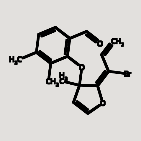 C=C/C(Br)=C1/OC=CC1(C)Oc1c(C=O)ccc(C)c1C